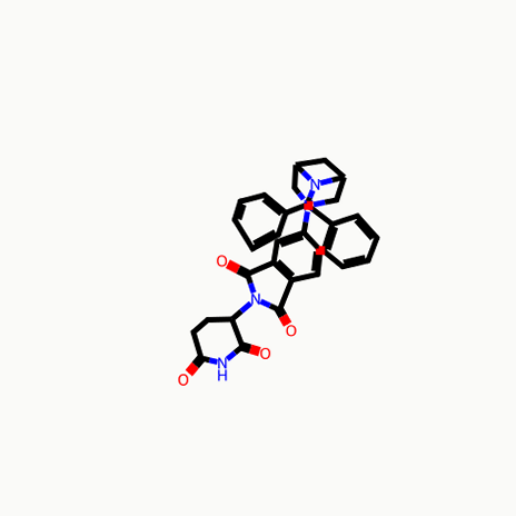 O=C1CCC(N2C(=O)c3ccc(N4CC5CC(C4)N5C(c4ccccc4)c4ccccc4)cc3C2=O)C(=O)N1